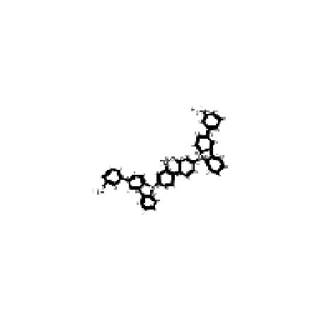 Cc1cccc(-c2ccc3c(c2)c2ccccc2n3-c2ccc(-c3ccc(-n4c5ccccc5c5cc(-c6cccc(C)c6)ccc54)cc3C#N)c(C#N)c2)c1